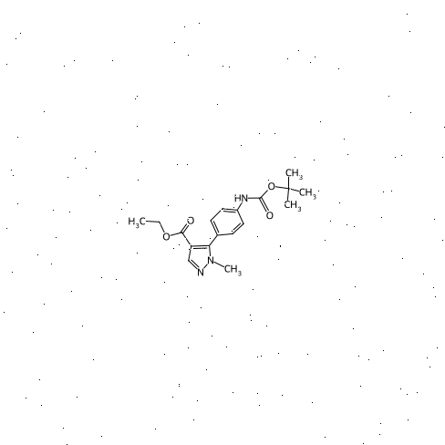 CCOC(=O)c1cnn(C)c1-c1ccc(NC(=O)OC(C)(C)C)cc1